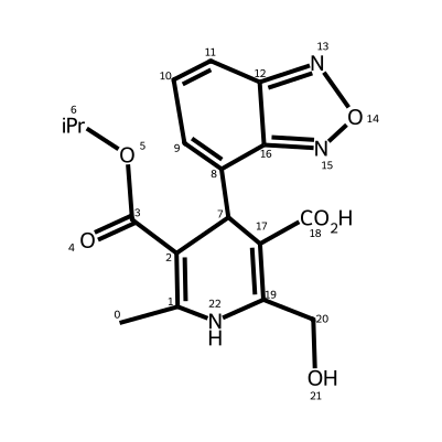 CC1=C(C(=O)OC(C)C)C(c2cccc3nonc23)C(C(=O)O)=C(CO)N1